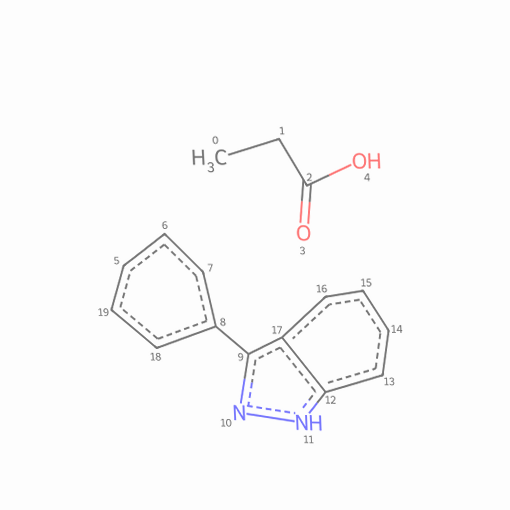 CCC(=O)O.c1ccc(-c2n[nH]c3ccccc23)cc1